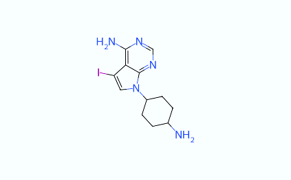 Nc1ncnc2c1c(I)cn2C1CCC(N)CC1